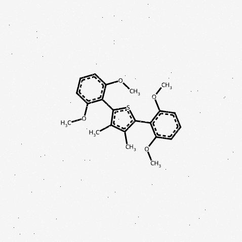 COc1cccc(OC)c1-c1sc(-c2c(OC)cccc2OC)c(C)c1C